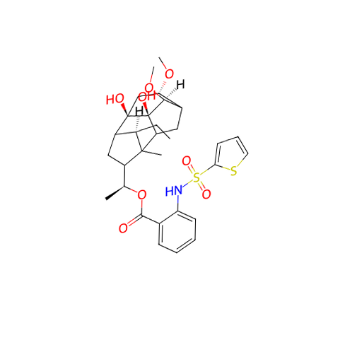 CC[C@@H]1C2CC([C@H](C)OC(=O)c3ccccc3NS(=O)(=O)c3cccs3)C1(C)C1CC3[C@@H](OC)C[C@]2(O)[C@]1(O)[C@H]3OC